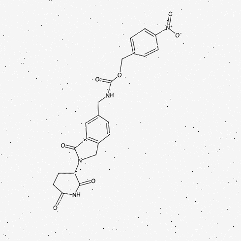 O=C1CCC(N2Cc3ccc(CNC(=O)OCc4ccc([N+](=O)[O-])cc4)cc3C2=O)C(=O)N1